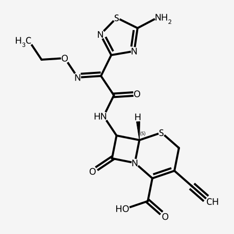 C#CC1=C(C(=O)O)N2C(=O)C(NC(=O)C(=NOCC)c3nsc(N)n3)[C@@H]2SC1